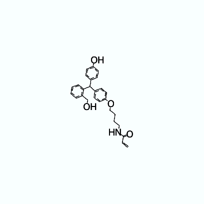 C=CC(=O)NCCCCOc1ccc(C(c2ccc(O)cc2)c2ccccc2CO)cc1